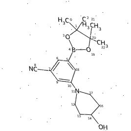 CC1(C)OB(c2cc(C#N)cc(N3CCC(O)CC3)c2)OC1(C)C